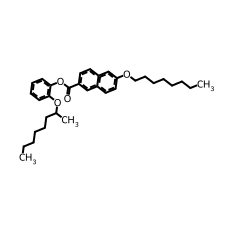 CCCCCCCCOc1ccc2cc(C(=O)Oc3ccccc3OC(C)CCCCCC)ccc2c1